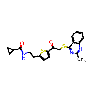 O=C(CSc1nc(C(F)(F)F)nc2ccccc12)c1ccc(CCNC(=O)C2CC2)s1